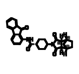 O=C1c2ccccc2-c2cccc(NC(=O)[C@H]3CC[C@H](N4C(=O)[C@@H]5[C@@H]6CC[C@@H](C6)[C@@H]5C4=O)CC3)c21